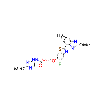 COc1cnc2c(-c3nc4cc(F)c(OCCOC(=O)Nc5cnc(OC)nc5)cc4s3)cc(C)cc2n1